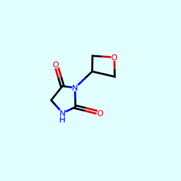 O=C1CNC(=O)N1C1COC1